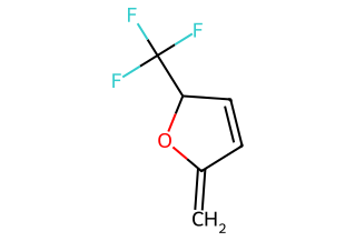 C=C1C=CC(C(F)(F)F)O1